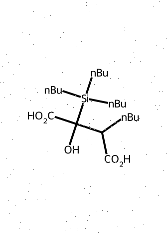 CCCCC(C(=O)O)C(O)(C(=O)O)[Si](CCCC)(CCCC)CCCC